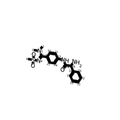 CN(C)C(=NS(C)(=O)=O)c1ccc(NC(=O)C(N)c2ccccc2)cc1